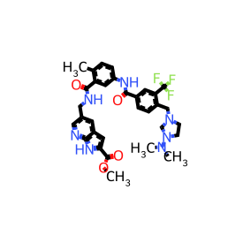 COC(=O)c1cc2cc(CNC(=O)c3cc(NC(=O)c4ccc(CN5CCN(N(C)C)C5)c(C(F)(F)F)c4)ccc3C)cnc2[nH]1